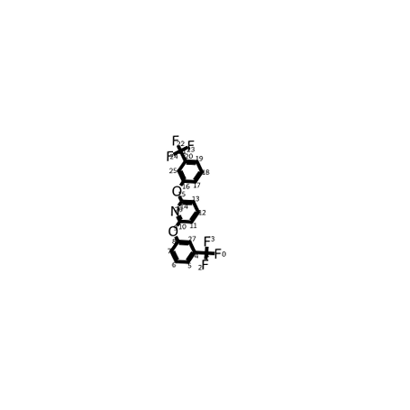 FC(F)(F)c1cccc(Oc2cccc(Oc3cccc(C(F)(F)F)c3)n2)c1